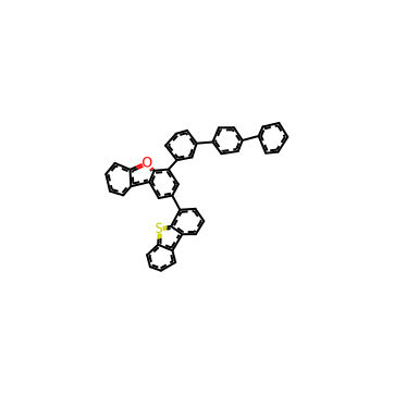 c1ccc(-c2ccc(-c3cccc(-c4cc(-c5cccc6c5sc5ccccc56)cc5c4oc4ccccc45)c3)cc2)cc1